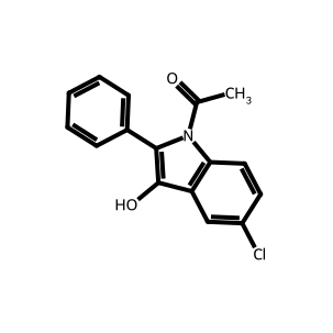 CC(=O)n1c(-c2ccccc2)c(O)c2cc(Cl)ccc21